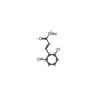 COC(=O)/C=C/c1c(Cl)cccc1Cl